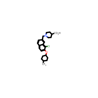 O=C(O)C1CCN(Cc2ccc3ccc(OC4CCC(C(F)(F)F)CC4)c(Cl)c3c2)CC1